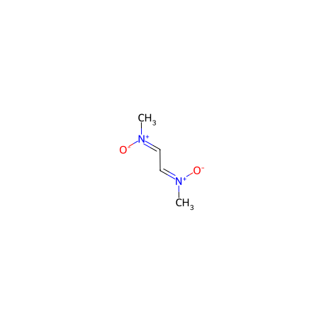 C/[N+]([O-])=C/C=[N+](/C)[O-]